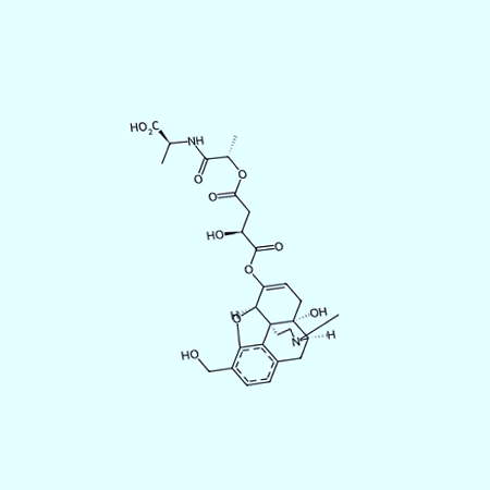 C[C@H](NC(=O)[C@H](C)OC(=O)C[C@H](O)C(=O)OC1=CC[C@@]2(O)[C@H]3Cc4ccc(CO)c5c4[C@@]2(CCN3C)[C@H]1O5)C(=O)O